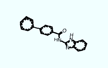 O=C(Nc1nc2ccccc2[nH]1)c1ccc(-c2ccccc2)cc1